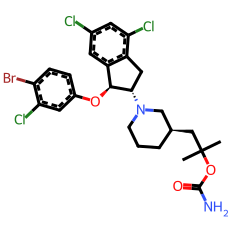 CC(C)(C[C@H]1CCCN([C@H]2Cc3c(Cl)cc(Cl)cc3[C@@H]2Oc2ccc(Br)c(Cl)c2)C1)OC(N)=O